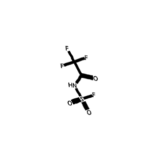 O=C(NS(=O)(=O)F)C(F)(F)F